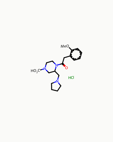 COc1ccccc1CC(=O)N1CCN(C(=O)O)CC1CN1CCCC1.Cl